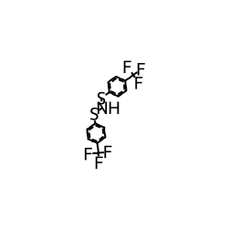 FC(F)(F)c1ccc(SNSc2ccc(C(F)(F)F)cc2)cc1